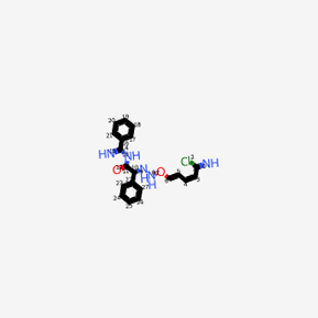 N=C(Cl)/C=C\C=C\ONNC(C(=O)NC(=N)c1ccccc1)c1ccccc1